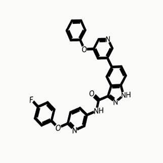 O=C(Nc1ccc(Oc2ccc(F)cc2)nc1)c1n[nH]c2ccc(-c3cncc(Oc4ccccc4)c3)cc12